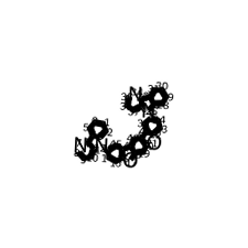 c1ccc2c(c1)c1ncccc1n2-c1ccc2oc3cc4oc5ccc(-n6c7ccccc7c7ncccc76)cc5c4cc3c2c1